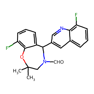 CC1(C)CN(C=O)C(c2cnc3c(F)cccc3c2)c2cccc(F)c2O1